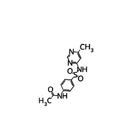 CC(=O)Nc1ccc(S(=O)(=O)Nc2cc(C)ncn2)cc1